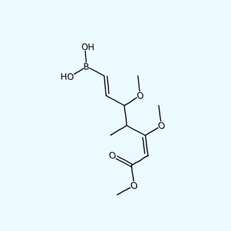 COC(=O)/C=C(/OC)C(C)C(/C=C/B(O)O)OC